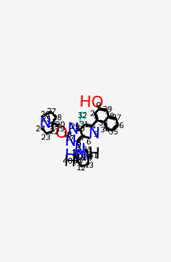 Oc1cc(-c2ncc3c(N4C[C@H]5CC[C@@H](C4)N5)nc(OCC45CCCN4CCC5)nc3c2F)c2ccccc2c1